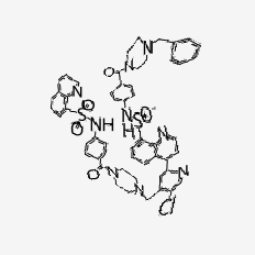 O=C(c1ccc(N[S+]([O-])c2cccc3c(-c4cc(CN5CCN(C(=O)c6ccc(NS(=O)(=O)c7cccc8cccnc78)cc6)CC5)c(Cl)cn4)ccnc23)cc1)N1CCN(Cc2ccccc2)CC1